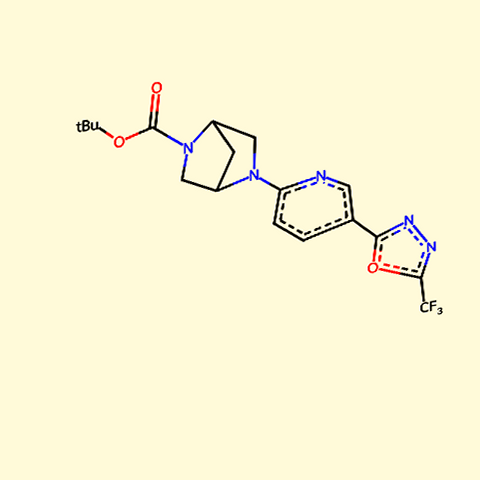 CC(C)(C)OC(=O)N1CC2CC1CN2c1ccc(-c2nnc(C(F)(F)F)o2)cn1